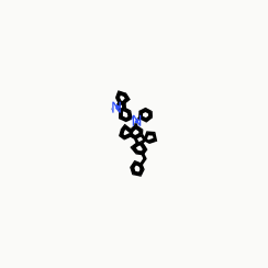 Cn1c2ccccc2c2cc(N(c3ccccc3)c3cc4c(c5ccccc35)-c3ccc(Cc5ccccc5)cc3C43C=CC=C3)ccc21